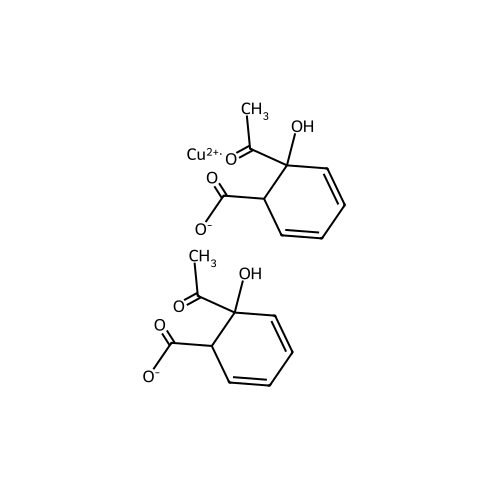 CC(=O)C1(O)C=CC=CC1C(=O)[O-].CC(=O)C1(O)C=CC=CC1C(=O)[O-].[Cu+2]